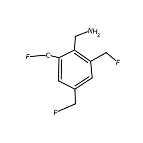 NCc1c(CF)cc(CF)cc1CF